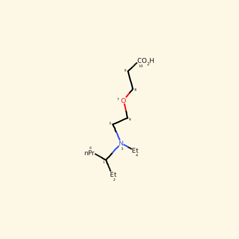 CCCC(CC)N(CC)CCOCCC(=O)O